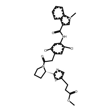 COC(=O)CCc1cnc([C@@H]2CCCN2C(=O)Cc2cc(Cl)c(NC(=O)c3cn(C)c4ccccc34)cc2Cl)s1